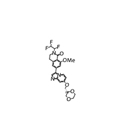 COc1cc(-c2cnc3cc(OC[C@H]4COCCO4)ccn23)cc2c1C(=O)N(C(F)C(F)F)CC2